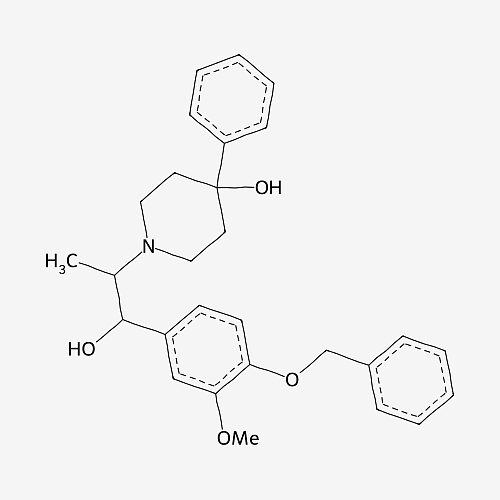 COc1cc(C(O)C(C)N2CCC(O)(c3ccccc3)CC2)ccc1OCc1ccccc1